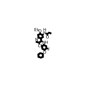 C=CC(=O)Nc1cc2c(Nc3ccc(Oc4ccccc4)c(F)c3)c(C#N)cnc2cc1OCC